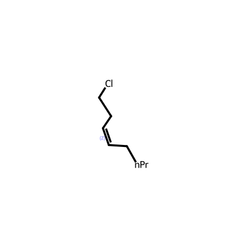 CCCC/C=C\CCCl